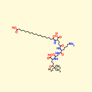 CC(C)(C)C(=O)CCC(NC(=O)CNC(=O)C(CCCCN)NC(=O)CCC(NC(=O)CCCCCCCCCCCCCCCCC(=O)O)C(=O)O)C(=O)O